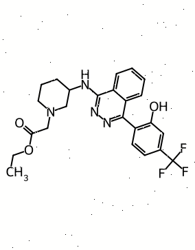 CCOC(=O)CN1CCCC(Nc2nnc(-c3ccc(C(F)(F)F)cc3O)c3ccccc23)C1